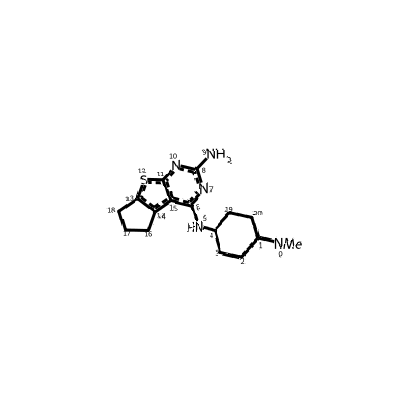 CNC1CCC(Nc2nc(N)nc3sc4c(c23)CCC4)CC1